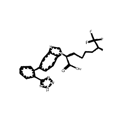 CC(CCCCC(C(=O)O)n1cnc2cc(-c3ccccc3-c3nn[nH]n3)ccc21)C(F)(F)F